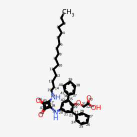 CCCCCCCCCCCCCCCCNc1c(Nc2cc(-c3ccccc3)c(OCC(=O)O)c(-c3ccccc3)c2)c(=O)c1=O